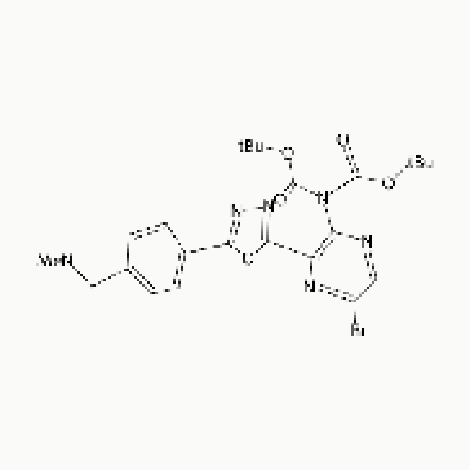 CNCc1ccc(-c2nnc(-c3nc(Br)cnc3N(C(=O)OC(C)(C)C)C(=O)OC(C)(C)C)o2)cc1